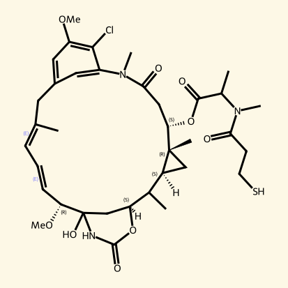 COc1cc2cc(c1Cl)N(C)C(=O)C[C@H](OC(=O)C(C)N(C)C(=O)CCS)[C@]1(C)C[C@H]1C(C)[C@@H]1CC(O)(NC(=O)O1)[C@H](OC)/C=C/C=C(\C)C2